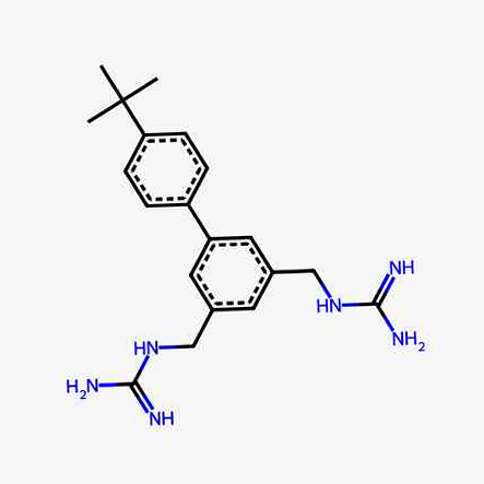 CC(C)(C)c1ccc(-c2cc(CNC(=N)N)cc(CNC(=N)N)c2)cc1